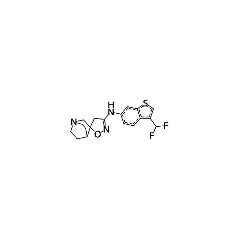 FC(F)c1csc2cc(NC3=NOC4(C3)CN3CCC4CC3)ccc12